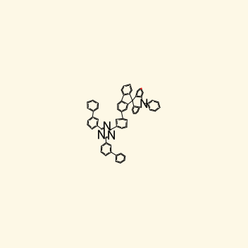 c1ccc(-c2cccc(-c3nc(-c4cccc(-c5ccccc5)c4)nc(-c4cccc(-c5ccc6c(c5)C5(c7ccccc7-6)c6ccccc6N(c6ccccc6)c6ccccc65)c4)n3)c2)cc1